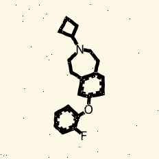 Fc1ccccc1Oc1ccc2c(c1)CCN(C1CCC1)CC2